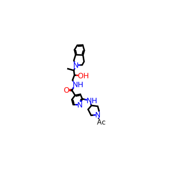 CC(=O)N1CCC(Nc2cc(C(=O)NCC(O)C(C)N3CCc4ccccc4C3)ccn2)CC1